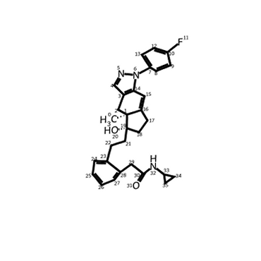 C[C@]12Cc3cnn(-c4ccc(F)cc4)c3C=C1CC[C@@]2(O)CCc1ccccc1CC(=O)NC1CC1